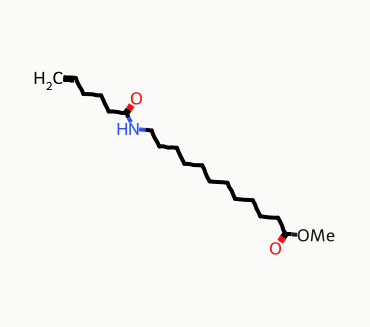 C=CCCCC(=O)NCCCCCCCCCCCC(=O)OC